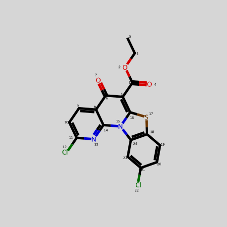 CCOC(=O)c1c(=O)c2ccc(Cl)nc2n2c1sc1ccc(Cl)cc12